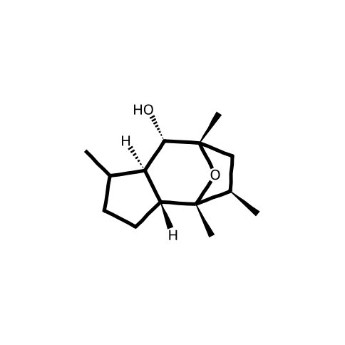 CC1CC[C@@H]2[C@@H]1[C@H](O)[C@]1(C)C[C@@H](C)[C@@]2(C)O1